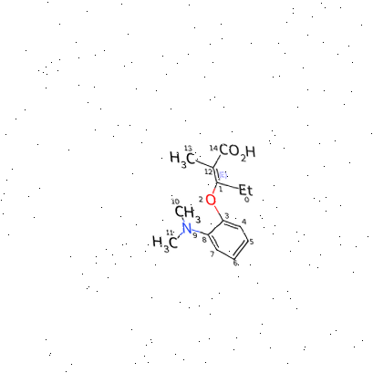 CC/C(Oc1ccccc1N(C)C)=C(/C)C(=O)O